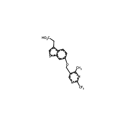 Cc1nc(C(F)(F)F)ncc1COc1ccc2c(CC(=O)O)csc2c1